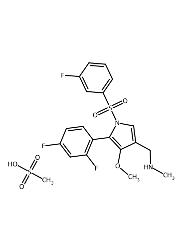 CNCc1cn(S(=O)(=O)c2cccc(F)c2)c(-c2ccc(F)cc2F)c1OC.CS(=O)(=O)O